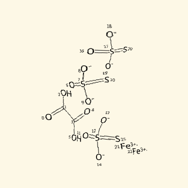 O=C(O)C(=O)O.O=S([O-])([O-])=S.O=S([O-])([O-])=S.O=S([O-])([O-])=S.[Fe+3].[Fe+3]